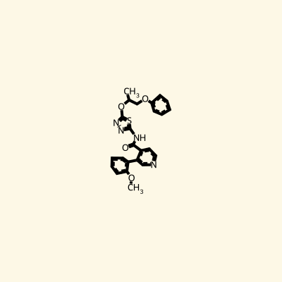 COc1ccccc1-c1cnccc1C(=O)Nc1nnc(OC(C)COc2ccccc2)s1